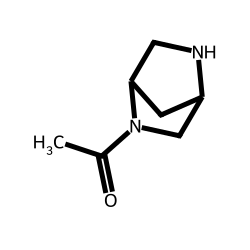 CC(=O)N1CC2CC1CN2